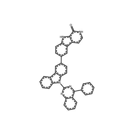 O=c1[nH]ccc2c1[nH]c1ccc(-c3ccc4c(c3)c3ccccc3n4-c3nc(-c4ccccc4)c4ccccc4n3)cc12